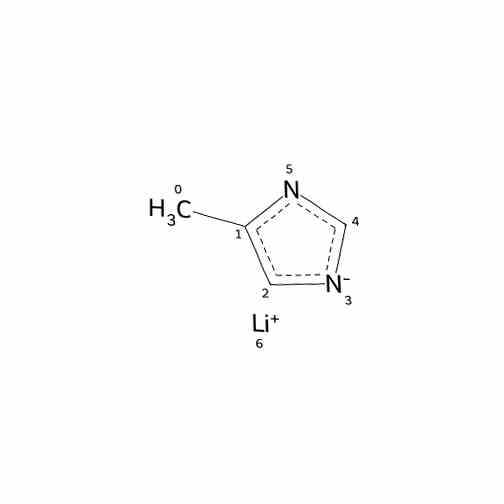 Cc1c[n-]cn1.[Li+]